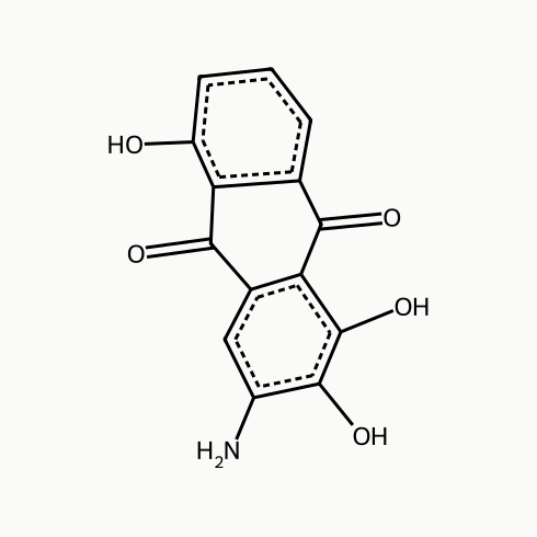 Nc1cc2c(c(O)c1O)C(=O)c1cccc(O)c1C2=O